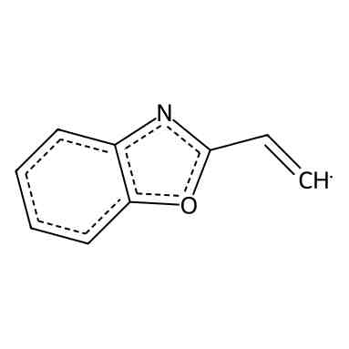 [CH]=Cc1nc2ccccc2o1